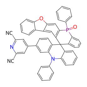 N#Cc1cc(-c2ccc3c(c2)N(c2ccccc2)c2ccccc2C32c3ccccc3P(=O)(c3ccccc3)c3cc4oc5ccccc5c4cc32)cc(C#N)n1